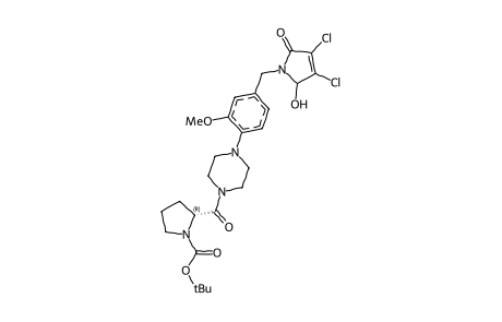 COc1cc(CN2C(=O)C(Cl)=C(Cl)C2O)ccc1N1CCN(C(=O)[C@H]2CCCN2C(=O)OC(C)(C)C)CC1